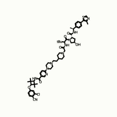 Cc1ncsc1-c1ccc([C@H](C)NC(=O)[C@@H]2C[C@@H](O)CN2C(=O)C(NC(=O)CN2CCC(CCN3CCN(c4ccc(C(=O)NC5C(C)(C)C(Oc6ccc(C#N)c(Cl)c6)C5(C)C)cn4)CC3)CC2)C(C)(C)C)cc1